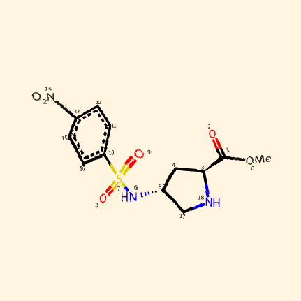 COC(=O)[C@@H]1C[C@@H](NS(=O)(=O)c2ccc([N+](=O)[O-])cc2)CN1